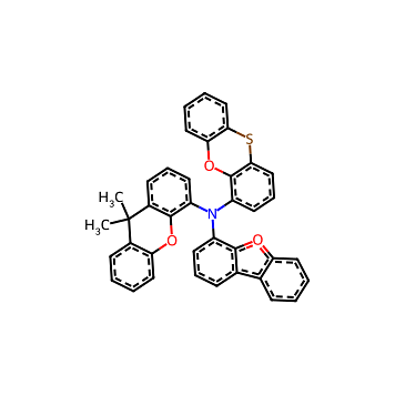 CC1(C)c2ccccc2Oc2c(N(c3cccc4c3Oc3ccccc3S4)c3cccc4c3oc3ccccc34)cccc21